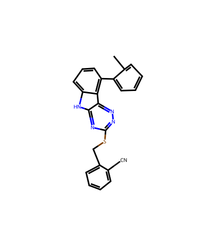 Cc1ccccc1-c1cccc2[nH]c3nc(SCc4ccccc4C#N)nnc3c12